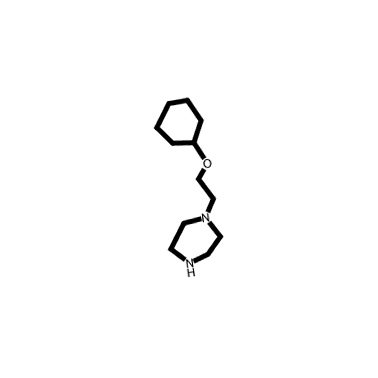 C1CCC(OCCN2CCNCC2)CC1